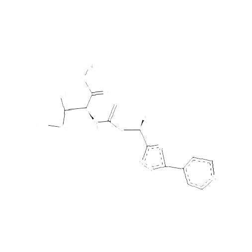 CCCCOC(=O)[C@@H](NC(=O)N[C@H](c1nnc(-c2ccncc2)o1)C(C)C)C(C)OCCCC